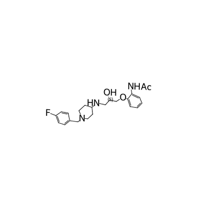 CC(=O)Nc1ccccc1OC[C@@H](O)CNC1CCN(Cc2ccc(F)cc2)CC1